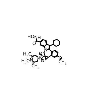 COc1ccc2c(c1)C1CC1(S(=O)(=O)N1C[C@@H](C)N(C)[C@@H](C)C1)Cn1c-2c(C2CCCCC2)c2ccc(C(=O)NO)cc21